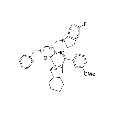 COc1cccc(C(=O)N[C@@H](CC2CCCCC2)C(=O)N[C@@H](COCc2ccccc2)CN2CCc3cc(F)ccc32)c1